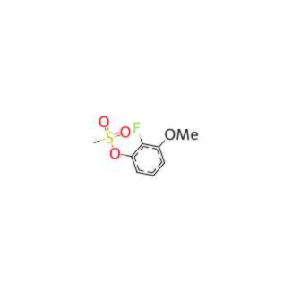 COc1cccc(OS(C)(=O)=O)c1F